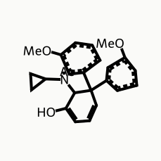 COc1cccc(C2(c3cccc(OC)c3)C=CC=C(O)C2N(C(C)=O)C2CC2)c1